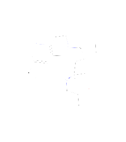 CC(O)C(C)N[C@@H]1CC[C@@](C(=O)N2CCc3ncc(C(F)(F)F)cc3C2)(C(C)C)C1